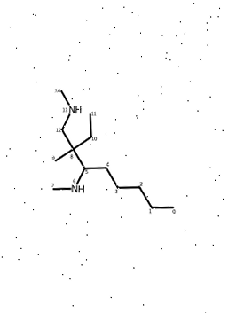 CCCCCC(NC)C(C)(CC)CNC